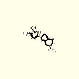 CN1NC([C@@H]2C=C3CP(C)CCC3=CC2)=CC=C1N